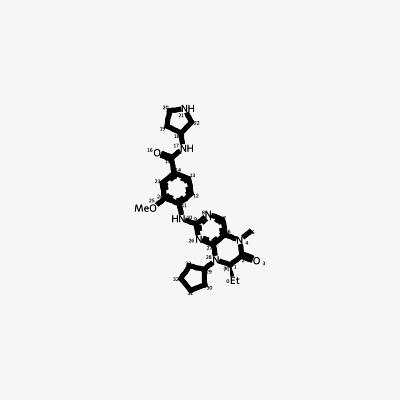 CC[C@@H]1C(=O)N(C)c2cnc(Nc3ccc(C(=O)NC4CCNC4)cc3OC)nc2N1C1CCCC1